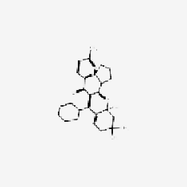 CC1(C)CC=C2C(C3CCCCC3)=C(C(=O)c3ccc(C(F)(F)F)cc3)C(C3CCCC3)=N[C@]2(O)C1